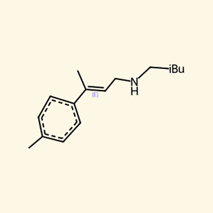 CCC(C)CNC/C=C(\C)c1ccc(C)cc1